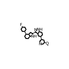 COc1cncc(-c2ccc3[nH]nc(-c4cc5c(-c6ccc(F)cc6)cccc5[nH]4)c3c2)c1